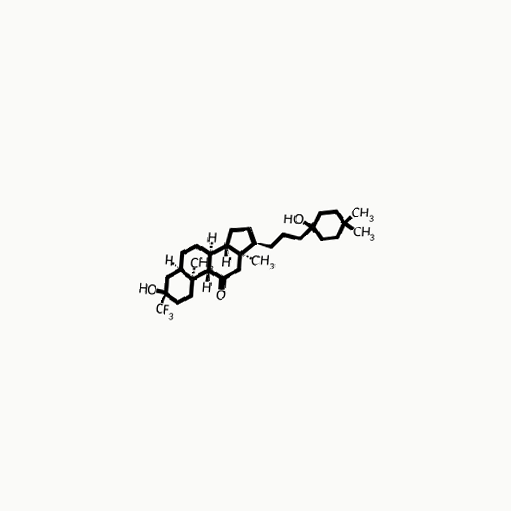 CC1(C)CCC(O)(CCC[C@@H]2CC[C@H]3[C@@H]4CC[C@@H]5C[C@](O)(C(F)(F)F)CC[C@]5(C)[C@H]4C(=O)C[C@]23C)CC1